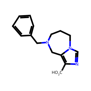 O=C(O)c1ncn2c1CN(Cc1ccccc1)CCC2